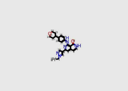 CC(C)Cn1cc(-c2cc3cc[nH]c(=O)c3c(Nc3ccc(C4CCOCC4)cc3)n2)cn1